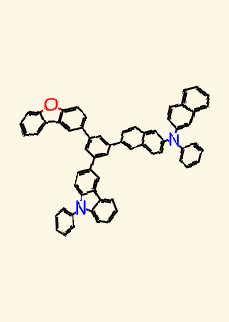 c1ccc(N(c2ccc3ccccc3c2)c2ccc3cc(-c4cc(-c5ccc6oc7ccccc7c6c5)cc(-c5ccc6c(c5)c5ccccc5n6-c5ccccc5)c4)ccc3c2)cc1